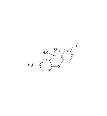 Cc1ccc2c(c1)C(C)(C)c1cc(C)ccc1S2